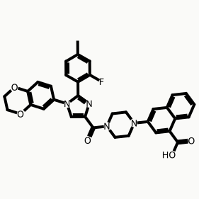 Cc1ccc(-c2nc(C(=O)N3CCN(c4cc(C(=O)O)c5ccccc5c4)CC3)cn2-c2ccc3c(c2)OCCO3)c(F)c1